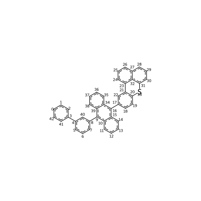 c1ccc(-c2cccc(-c3c4ccccc4c(-c4ccc5c(c4)-c4cccc6cccc(c46)S5)c4ccccc34)c2)cc1